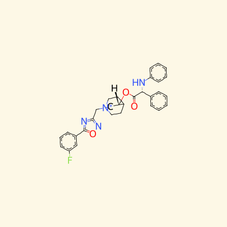 O=C(O[C@H]1C[N+]2(Cc3noc(-c4cccc(F)c4)n3)CCC1CC2)[C@H](Nc1ccccc1)c1ccccc1